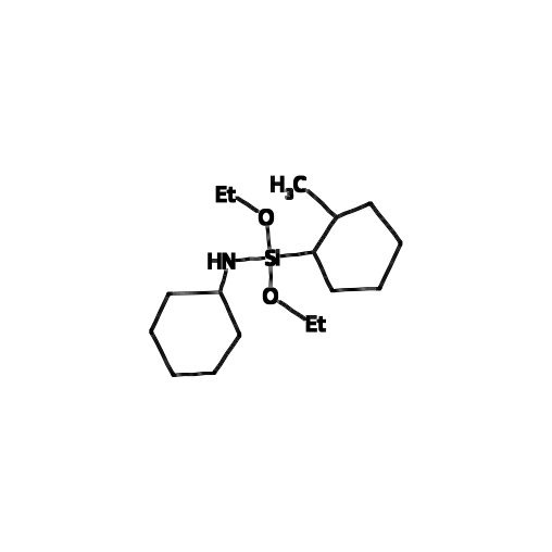 CCO[Si](NC1CCCCC1)(OCC)C1CCCCC1C